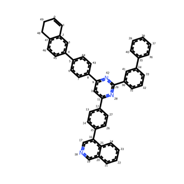 C1=Cc2cc(-c3ccc(-c4cc(-c5ccc(-c6cncc7ccccc67)cc5)nc(-c5cccc(-c6ccccc6)c5)n4)cc3)ccc2CC1